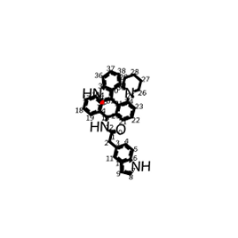 O=C(Cc1ccc2[nH]ccc2c1)NC(c1ccccc1)c1cccc(N2CCCCC2)c1-c1c[nH]c2ccccc12